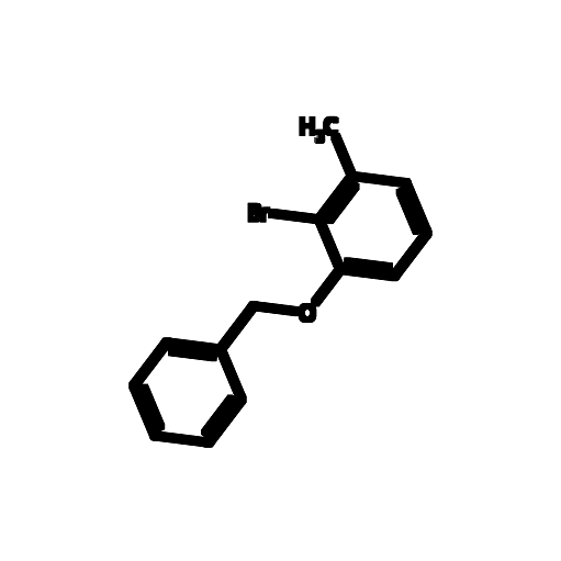 Cc1cccc(OCc2ccccc2)c1Br